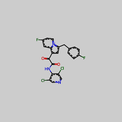 O=C(Nc1c(Cl)cncc1Cl)C(=O)c1cc(Cc2ccc(F)cc2)n2ccc(F)cc12